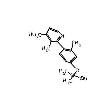 Cc1cc(O[Si](C)(C)C(C)(C)C)ccc1-c1nccc(C(=O)O)c1C